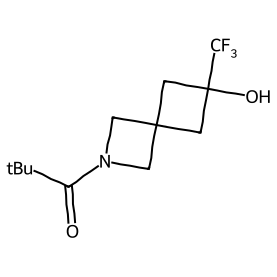 CC(C)(C)C(=O)N1CC2(C1)CC(O)(C(F)(F)F)C2